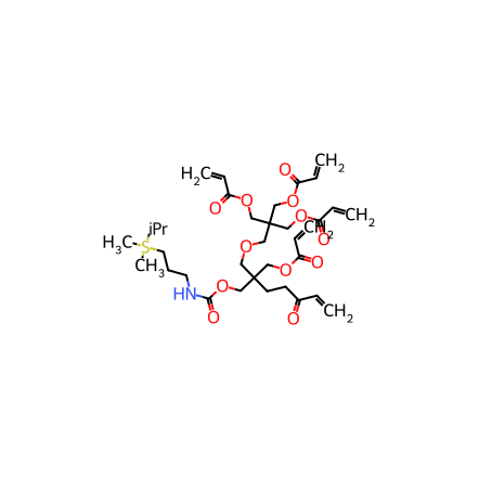 C=CC(=O)CCC(COCC(COC(=O)C=C)(COC(=O)C=C)COC(=O)C=C)(COC(=O)C=C)COC(=O)NCCCS(C)(C)C(C)C